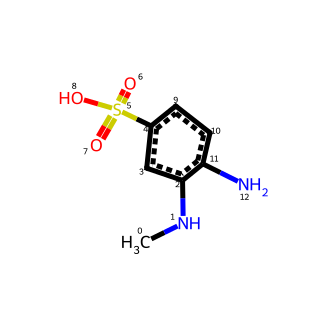 CNc1cc(S(=O)(=O)O)ccc1N